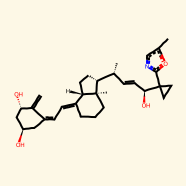 C=C1/C(=C\C=C2/CCC[C@]3(C)[C@@H]([C@H](C)/C=C/[C@H](O)C4(c5ncc(C)o5)CC4)CC[C@@H]23)C[C@@H](O)C[C@@H]1O